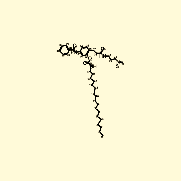 CCCCCCCCCCCCCCCCCCNC(=O)Oc1cc(NC(=O)c2ccccc2)ccc1CCC(=O)NCCCN(C)C